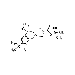 COC1=CC2(CCN(C(=O)OC(C)(C)C)CC2)Cc2sc(C(C)(C)C)nc21